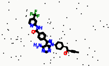 CC#CC(=O)C[C@H]1CC[C@H](n2nc(-c3ccc(C(=O)Nc4cc(C(F)(F)F)ccn4)cc3)c3c(N)ncnc32)CC1